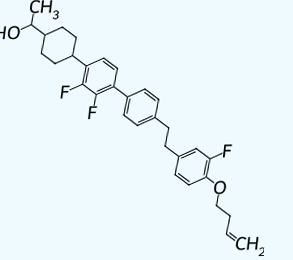 C=CCCOc1ccc(CCc2ccc(-c3ccc(C4CCC(C(C)O)CC4)c(F)c3F)cc2)cc1F